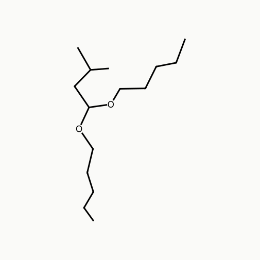 CCCCCOC(CC(C)C)OCCCCC